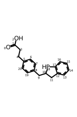 O=C(O)CCc1ccc(CC2Cc3ccccc3P2)cc1